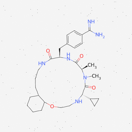 C[C@@H]1C(=O)N[C@H](Cc2ccc(C(=N)N)cc2)C(=O)NCCCC2CCCCC2OCCN[C@@H](C2CC2)C(=O)N1C